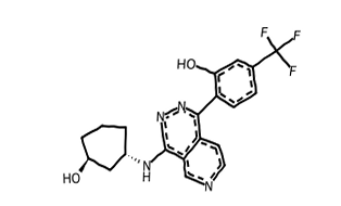 Oc1cc(C(F)(F)F)ccc1-c1nnc(N[C@H]2CCC[C@H](O)C2)c2cnccc12